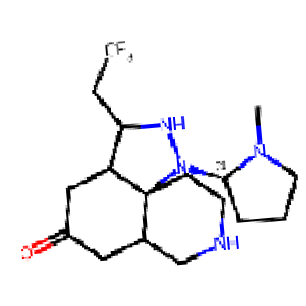 CN1CCC[C@H]1N1NC(CC(F)(F)F)C2CC(=O)CC3CNCCC321